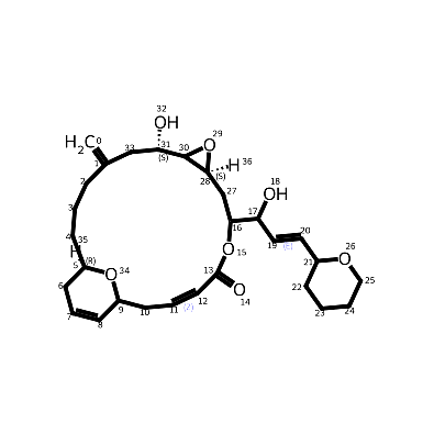 C=C1CCC[C@@H]2CC=CC(C/C=C\C(=O)OC(C(O)/C=C/C3CCCCO3)C[C@@H]3OC3[C@@H](O)C1)O2